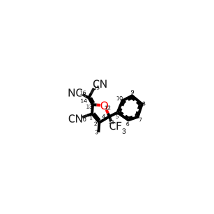 [C-]#[N+]C1=C(C)C(c2ccccc2)(C(F)(F)F)OC1=C(C#N)C#N